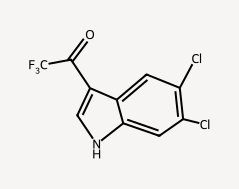 O=C(c1c[nH]c2cc(Cl)c(Cl)cc12)C(F)(F)F